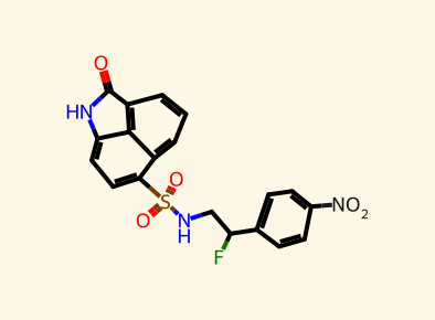 O=C1Nc2ccc(S(=O)(=O)NCC(F)c3ccc([N+](=O)[O-])cc3)c3cccc1c23